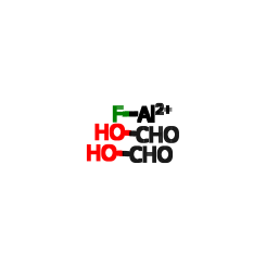 O=[C-]O.O=[C-]O.[F][Al+2]